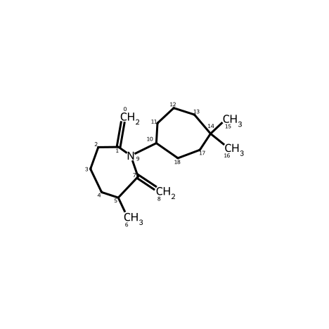 C=C1CCCC(C)C(=C)N1C1CCCC(C)(C)CC1